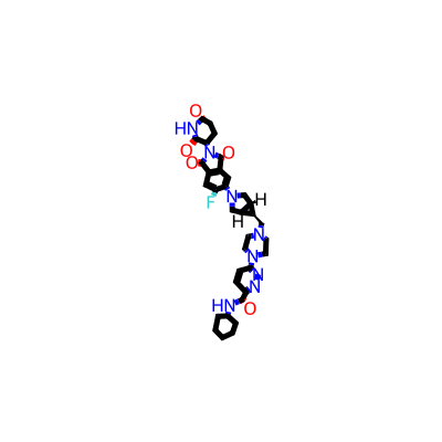 O=C1CCC(N2C(=O)c3cc(F)c(N4C[C@@H]5[C@@H](CN6CCN(c7ccc(C(=O)NC8CCCCC8)nn7)CC6)[C@@H]5C4)cc3C2=O)C(=O)N1